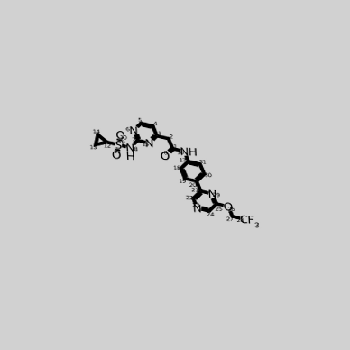 O=C(Cc1ccnc(NS(=O)(=O)C2CC2)n1)Nc1ccc(-c2cncc(OCC(F)(F)F)n2)cc1